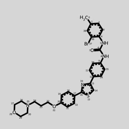 Cc1ccc(NC(=O)Nc2ccc(-c3csc(-c4ccc(OCCCN5CCOCC5)cc4)n3)cc2)c(Br)c1